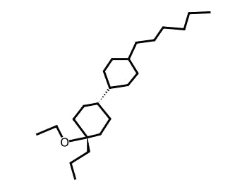 CCCCCCC1CCC([C@H]2CC[C@@](CCC)(OCC)CC2)CC1